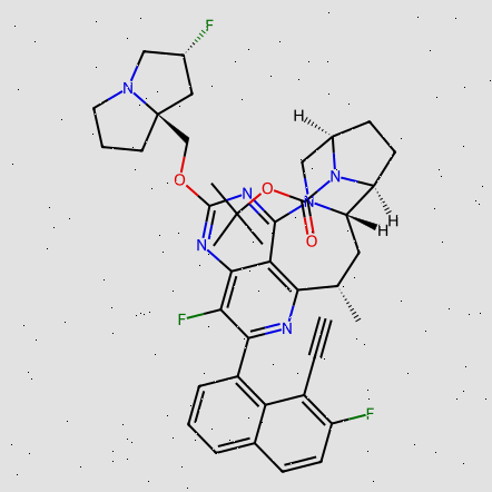 C#Cc1c(F)ccc2cccc(-c3nc4c5c(nc(OC[C@@]67CCCN6C[C@H](F)C7)nc5c3F)N3C[C@H]5CC[C@@H]([C@@H]3C[C@@H]4C)N5C(=O)OC(C)(C)C)c12